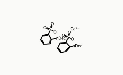 CCCCCCCCCCc1ccccc1S(=O)(=O)[O-].CCCCCCCCCCc1ccccc1S(=O)(=O)[O-].[Ca+2]